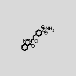 NS(=O)(=O)c1ccc(CC(Cl)n2cnc3ccccc3c2=O)cc1